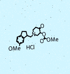 COC(=O)OC1CN(CC2CCc3ccc(OC)cc32)CCC1=O.Cl